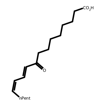 CCCCC/C=C\C=C\C(=O)CCCCCCCC(=O)O